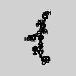 COc1cc(CN2CCN(C3CC4(C3)CN(c3ccc(C(=O)NS(=O)(=O)c5ccc(NCC6CCC(C)(O)CC6)c([N+](=O)[O-])c5)c(Oc5cnc6[nH]ccc6c5)c3)C4)[C@H](c3ccccc3C(C)C)C2)cc2c1OCCC2